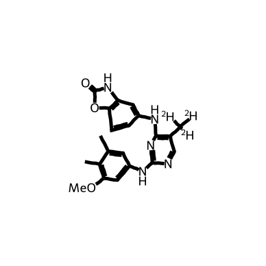 [2H]C([2H])([2H])c1cnc(Nc2cc(C)c(C)c(OC)c2)nc1Nc1ccc2oc(=O)[nH]c2c1